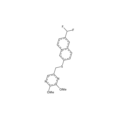 COc1ncc(CSc2ccc3cc(C(F)F)ccc3c2)nc1OC